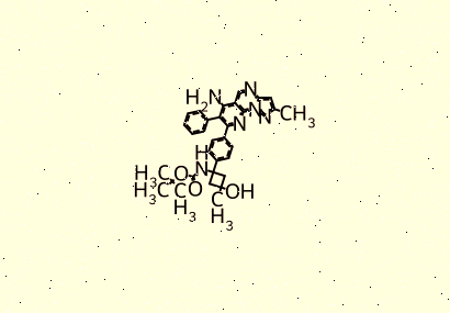 Cc1cc2ncc3c(N)c(-c4ccccc4)c(-c4ccc(C5(NC(=O)OC(C)(C)C)CC(C)(O)C5)cc4)nc3n2n1